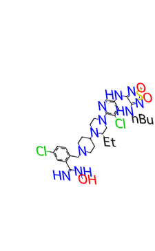 CCCCNC1=NS(=O)(=O)N=C1Nc1cnc(N2CCN(C3CCN(Cc4ccc(Cl)cc4C(=N)NO)CC3)[C@@H](CC)C2)c(Cl)c1